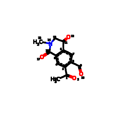 CC(=O)c1cc2c(cc1C=O)C(=O)CN(C)C2=O